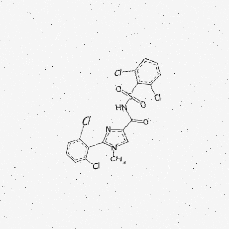 Cn1cc(C(=O)NS(=O)(=O)c2c(Cl)cccc2Cl)nc1-c1c(Cl)cccc1Cl